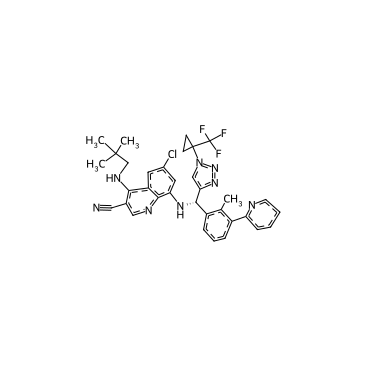 Cc1c(-c2ccccn2)cccc1[C@H](Nc1cc(Cl)cc2c(NCC(C)(C)C)c(C#N)cnc12)c1cn(C2(C(F)(F)F)CC2)nn1